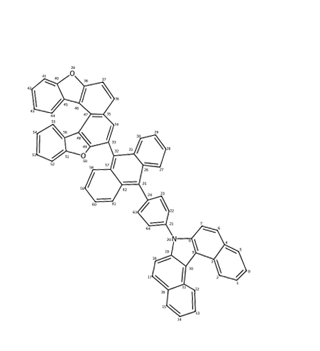 c1ccc2c(c1)ccc1c2c2c3ccccc3ccc2n1-c1ccc(-c2c3ccccc3c(-c3cc4ccc5oc6ccccc6c5c4c4c3oc3ccccc34)c3ccccc23)cc1